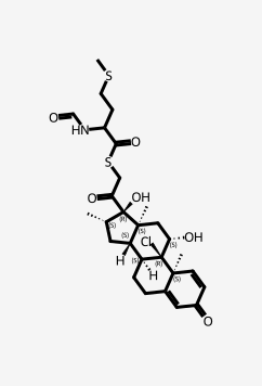 CSCCC(NC=O)C(=O)SCC(=O)[C@@]1(O)[C@@H](C)C[C@H]2[C@@H]3CCC4=CC(=O)C=C[C@]4(C)[C@@]3(Cl)[C@@H](O)C[C@@]21C